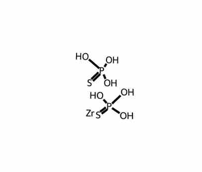 OP(O)(O)=S.OP(O)(O)=S.[Zr]